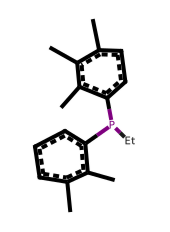 CCP(c1cccc(C)c1C)c1ccc(C)c(C)c1C